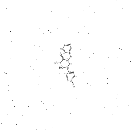 O=C(CBr)N(Cc1ccccc1)C[C@H](O)c1ccc(F)cc1